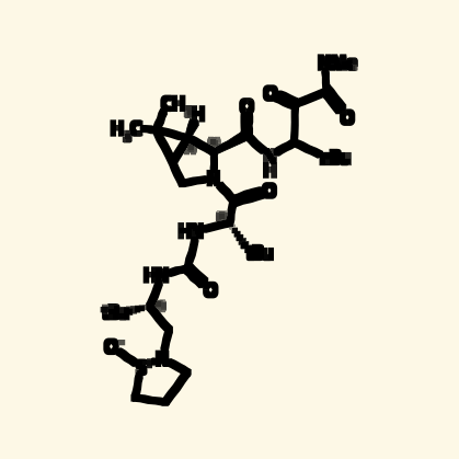 CCCCC(NC(=O)[C@@H]1[C@@H]2C(CN1C(=O)[C@@H](NC(=O)N[C@H](CN1CCC[S+]1[O-])C(C)(C)C)C(C)(C)C)C2(C)C)C(=O)C(=O)NC